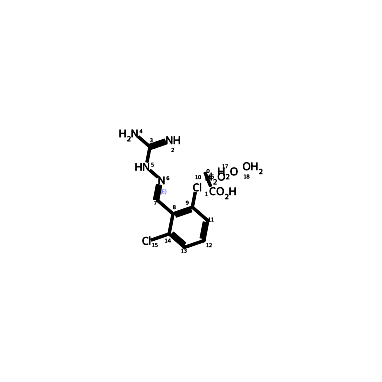 CC(=O)O.N=C(N)N/N=C/c1c(Cl)cccc1Cl.O.O.O